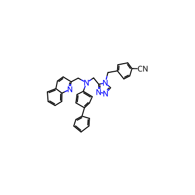 N#Cc1ccc(Cn2cnnc2CN(Cc2ccc3ccccc3n2)c2ccc(-c3ccccc3)cc2)cc1